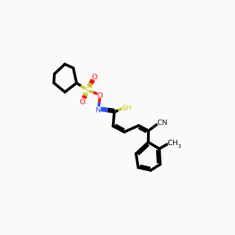 Cc1ccccc1/C(C#N)=C\C=C/C(S)=NOS(=O)(=O)C1CCCCC1